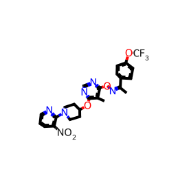 CC(=NOc1ncnc(OC2CCN(c3ncccc3[N+](=O)[O-])CC2)c1C)c1ccc(OC(F)(F)F)cc1